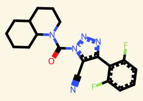 N#Cc1c(-c2c(F)cccc2F)nnn1C(=O)N1CCCC2CCCCC21